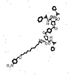 O=C(NCCCCCCCCCCCCOCc1ccc([N+](=O)[O-])cc1)[C@@H]1CN(C(=O)c2ccc(C(=O)N3C[C@@H](C(=O)N[C@H]4C[C@@H]4c4ccccc4)[C@H](C(=O)N[C@H]4C[C@@H]4c4ccccc4)C3)cc2)C[C@H]1C(=O)N[C@H]1C[C@@H]1c1ccccc1